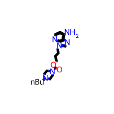 CCCCN1CCN(C(=O)OCCCCn2cnc3c(N)ccnc32)CC1